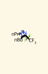 CCCCc1c(C(F)(F)C(F)(F)F)nnn1CCC